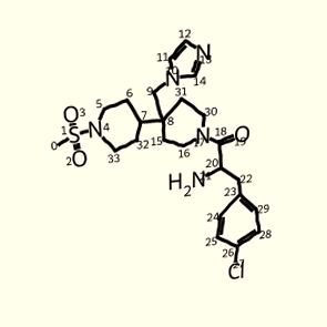 CS(=O)(=O)N1CCC(C2(Cn3ccnc3)CCN(C(=O)C(N)Cc3ccc(Cl)cc3)CC2)CC1